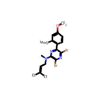 CCC(=CCN(C)c1nc(-c2ccc(OC(F)(F)F)cc2OC)c(Br)nc1Br)CC